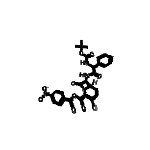 CC(C)(C)OC(=O)NC(C(=O)N[C@@H]1C(=O)N2C(C(=O)OC(=O)c3ccc([N+](=O)[O-])cc3)=C(Cl)CC[C@H]12)c1ccccc1